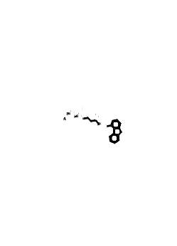 CC(C)(C)OC(=O)NC(=S)NCCCC(N)C(=O)OCc1cccc2c1-c1ccccc1C2